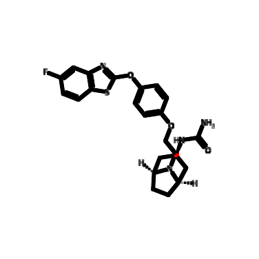 NC(=O)N[C@H]1C[C@H]2CC[C@@H](C1)N2CCOc1ccc(Oc2nc3cc(F)ccc3s2)cc1